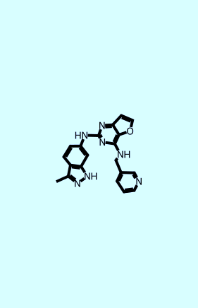 Cc1n[nH]c2cc(Nc3nc(NCc4cccnc4)c4occc4n3)ccc12